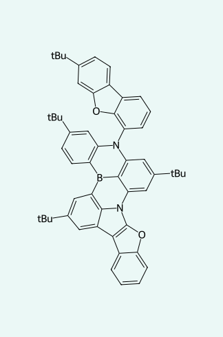 CC(C)(C)c1ccc2c(c1)N(c1cccc3c1oc1cc(C(C)(C)C)ccc13)c1cc(C(C)(C)C)cc3c1B2c1cc(C(C)(C)C)cc2c4c5ccccc5oc4n-3c12